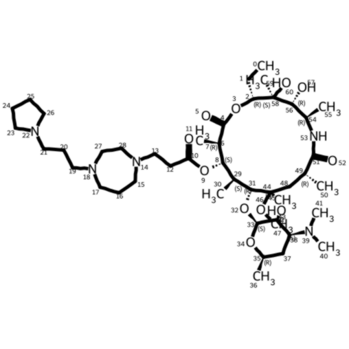 CC[C@H]1OC(=O)[C@H](C)[C@@H](OC(=O)CCN2CCCN(CCCN3CCCC3)CC2)[C@H](C)[C@@H](O[C@@H]2O[C@H](C)C[C@H](N(C)C)[C@H]2O)[C@](C)(OC)C[C@@H](C)C(=O)N[C@H](C)[C@@H](O)[C@]1(C)O